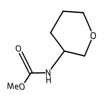 COC(=O)NC1CCCOC1